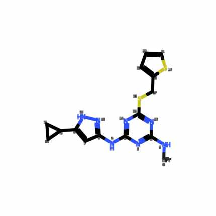 CCCNc1nc(Nc2cc(C3CC3)[nH]n2)nc(SCc2cccs2)n1